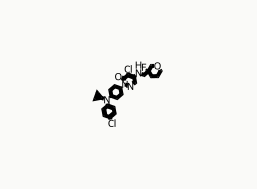 O=c1c(Cl)c(NC[C@@]2(F)CCCOC2)cnn1[C@H]1CC[C@H](N(c2ccc(Cl)cc2)C2CC2)CC1